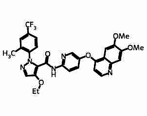 CCOc1cnn(-c2ccc(C(F)(F)F)cc2C)c1C(=O)Nc1ccc(Oc2ccnc3cc(OC)c(OC)cc23)cn1